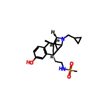 C[C@H]1[C@@H]2N(CC3CC3)C3C4C32Cc2ccc(O)cc2[C@]41CCNS(C)(=O)=O